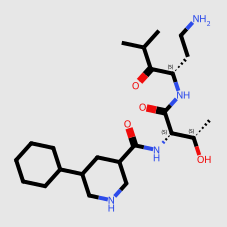 CC(C)C(=O)[C@H](CCN)NC(=O)[C@@H](NC(=O)C1CNCC(C2CCCCC2)C1)[C@H](C)O